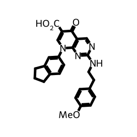 COc1ccc(CCNc2ncc3c(=O)c(C(=O)O)cn(-c4ccc5c(c4)CCC5)c3n2)cc1